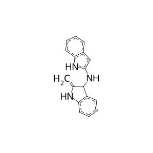 C=C1Nc2ccccc2C1Nc1cc2ccccc2[nH]1